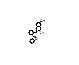 CC1Cc2cc(O)ccc2CN1Cc1ccccc1-n1cnc2ccccc21